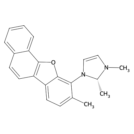 Cc1ccc2c(oc3c4ccccc4ccc23)c1N1C=CN(C)[C@@H]1C